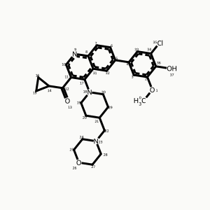 COc1cc(-c2ccc3ncc(C(=O)C4CC4)c(N4CCC(CN5CCOCC5)CC4)c3c2)cc(Cl)c1O